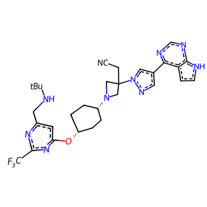 CC(C)(C)NCc1cc(O[C@H]2CC[C@@H](N3CC(CC#N)(n4cc(-c5ncnc6[nH]ccc56)cn4)C3)CC2)nc(C(F)(F)F)n1